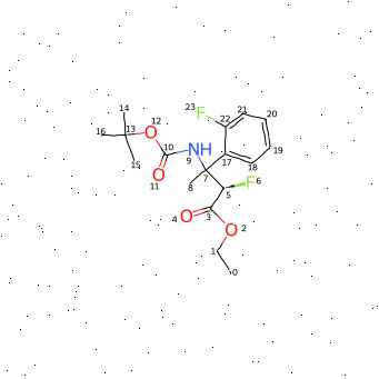 CCOC(=O)[C@H](F)C(C)(NC(=O)OC(C)(C)C)c1ccccc1F